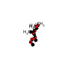 Cc1ccc(N(c2ccc(-c3ccc4c(c3)C(C)(C)c3cc(C)ccc3-4)cc2)c2ccc(-c3ccc4c5ccccc5n(-c5cccc(-c6cccc(-c7ccccc7)c6)c5)c4c3)cc2)cc1